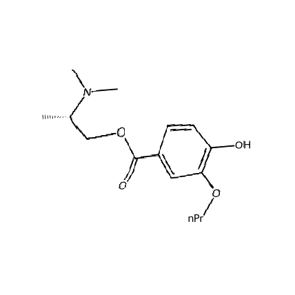 CCCOc1cc(C(=O)OC[C@H](C)N(C)C)ccc1O